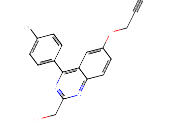 C#CCOc1ccc2nc(CO)nc(-c3ccc(C(C)C)cc3)c2c1